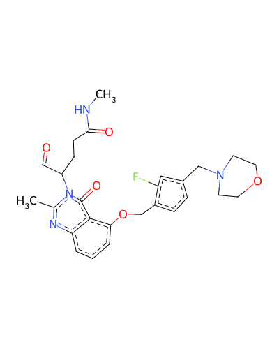 CNC(=O)CCC(C=O)n1c(C)nc2cccc(OCc3ccc(CN4CCOCC4)cc3F)c2c1=O